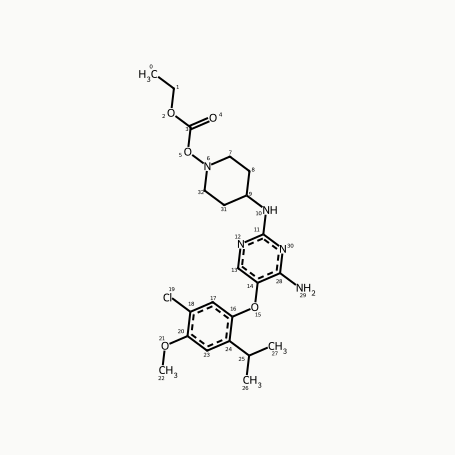 CCOC(=O)ON1CCC(Nc2ncc(Oc3cc(Cl)c(OC)cc3C(C)C)c(N)n2)CC1